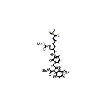 COC(=O)NCC(CC/C=C/C(=O)N(C)C)CNc1cccn(Cc2nc3c(CC(C)C)c(F)cc(F)c3n2C(=O)OC(C)(C)C)c1=O